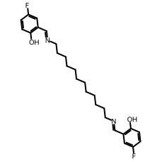 Oc1ccc(F)cc1C=NCCCCCCCCCCCCN=Cc1cc(F)ccc1O